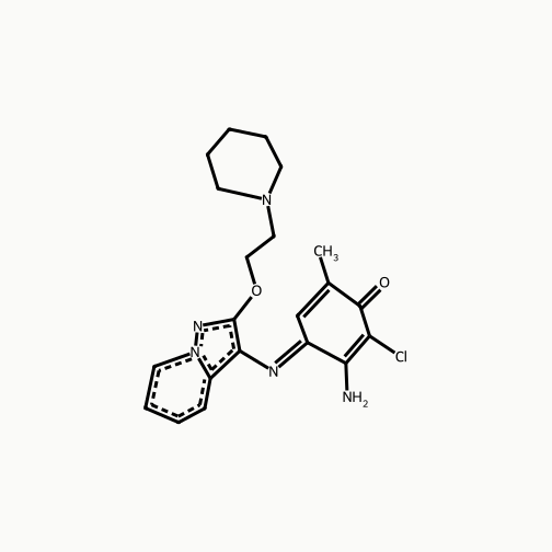 CC1=C/C(=N\c2c(OCCN3CCCCC3)nn3ccccc23)C(N)=C(Cl)C1=O